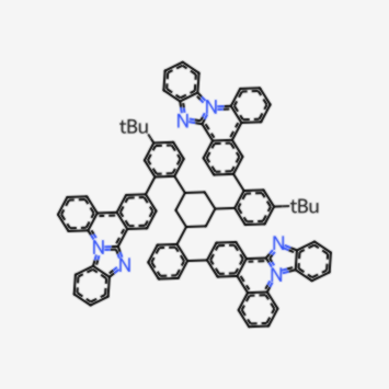 CC(C)(C)c1ccc(C2CC(c3ccccc3-c3ccc4c(c3)c3ccccc3n3c5ccccc5nc43)CC(c3ccc(C(C)(C)C)cc3-c3ccc4c(c3)c3ccccc3n3c5ccccc5nc43)C2)c(-c2ccc3c(c2)c2ccccc2n2c4ccccc4nc32)c1